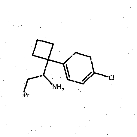 CC(C)CC(N)C1(C2=CC=C(Cl)CC2)CCC1